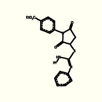 CCOC(=O)c1ccc(N2C(=O)CC(S/C(=N/c3ccccc3)NC(C)C)C2=O)cc1